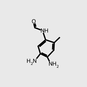 Cc1cc(N)c(N)cc1NC=O